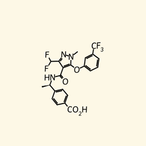 C[C@@H](NC(=O)c1c(C(F)F)nn(C)c1Oc1cccc(C(F)(F)F)c1)c1ccc(C(=O)O)cc1